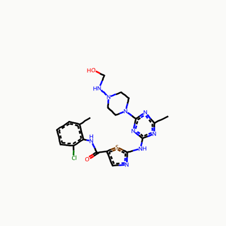 Cc1nc(Nc2ncc(C(=O)Nc3c(C)cccc3Cl)s2)nc(N2CCN(NCO)CC2)n1